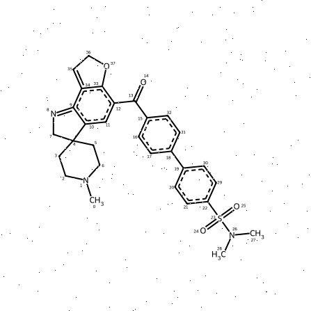 CN1CCC2(CC1)CN=c1c2cc(C(=O)c2ccc(-c3ccc(S(=O)(=O)N(C)C)cc3)cc2)c2c1=CCO2